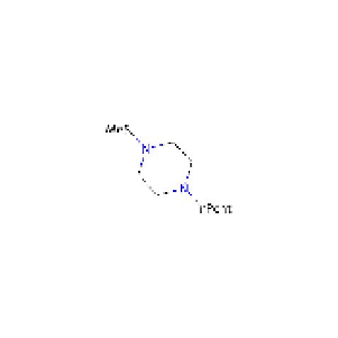 CCCCCN1CCN(SC)CC1